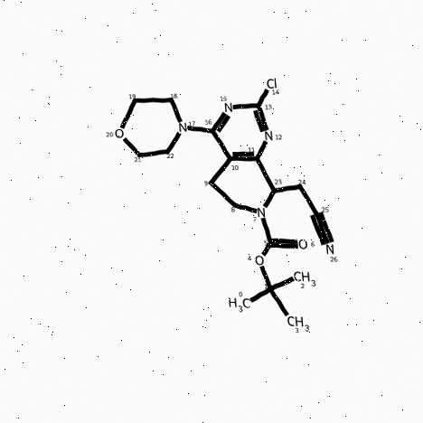 CC(C)(C)OC(=O)N1CCc2c(nc(Cl)nc2N2CCOCC2)C1CC#N